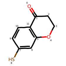 O=C1CCOc2cc(S)ccc21